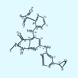 Cn1[nH]c2nc(Nc3cccc(C4CC4)n3)cc(Nc3ccccc3S(C)(=O)=O)c2c1=O